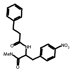 CNC(=O)C(Cc1ccc([N+](=O)[O-])cc1)NC(=O)CCc1ccccc1